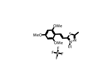 CC[n+]1nc(C)sc1C=Cc1c(OC)cc(OC)cc1OC.F[B-](F)(F)F